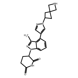 Cc1nn(C2CCC(=O)NC2=O)c2cccc(-c3cnn(C4CC5(CNC5)C4)c3)c12